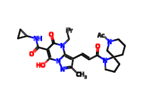 CC(=O)N1CCCC2(CCCN2C(=O)C=Cc2c(C)nn3c(O)c(C(=O)NC4CC4)c(=O)n(CC(C)C)c23)C1